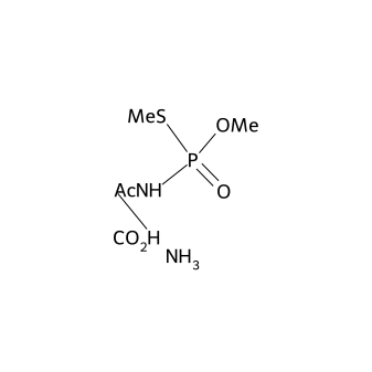 CC(=O)O.COP(=O)(NC(C)=O)SC.N